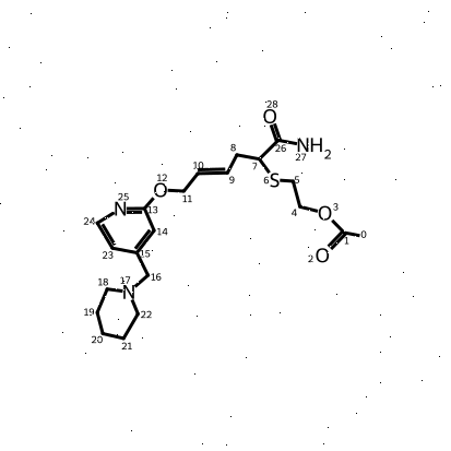 CC(=O)OCCSC(CC=CCOc1cc(CN2CCCCC2)ccn1)C(N)=O